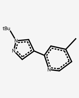 Cc1ccnc(-c2cnn(C(C)(C)C)c2)c1